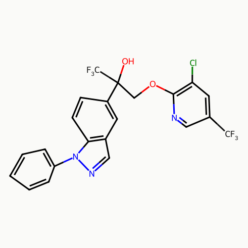 OC(COc1ncc(C(F)(F)F)cc1Cl)(c1ccc2c(cnn2-c2ccccc2)c1)C(F)(F)F